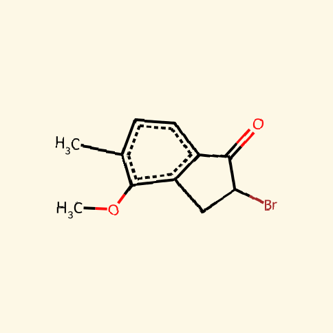 COc1c(C)ccc2c1CC(Br)C2=O